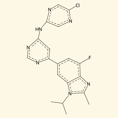 Cc1nc2c(F)cc(-c3cc(Nc4cnc(Cl)cn4)ncn3)cc2n1C(C)C